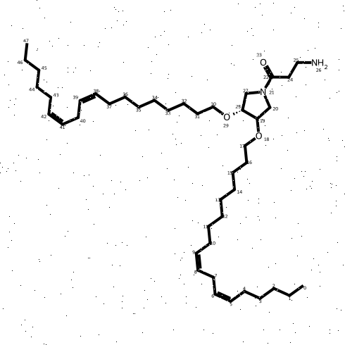 CCCCC/C=C\C/C=C\CCCCCCCCOC1CN(C(=O)CCN)C[C@H]1OCCCCCCCC/C=C\C/C=C\CCCCC